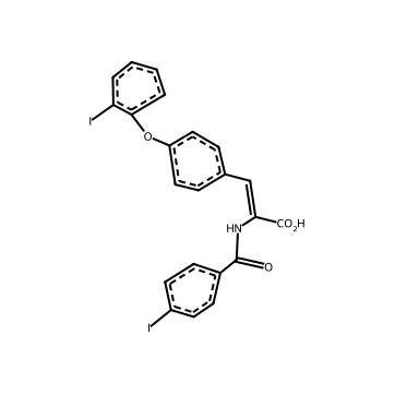 O=C(O)C(=Cc1ccc(Oc2ccccc2I)cc1)NC(=O)c1ccc(I)cc1